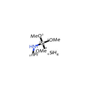 CCCN[Si](OC)(OC)OC.[SiH4]